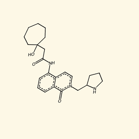 O=C(CC1(O)CCCCCC1)Nc1cccc2c(=O)n(CC3CCCN3)ccc12